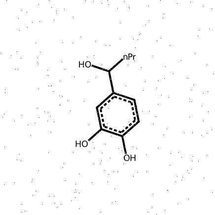 CCCC(O)c1ccc(O)c(O)c1